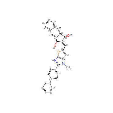 Cn1c(-c2ccc(-c3ccccc3)cc2)nc2sc(C=C3C(=O)c4cc5ccccc5cc4C3=O)cc21